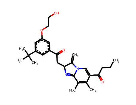 C=C1C(CC(=O)c2cc(OCCO)cc(C(C)(C)C)c2)N=C2C(C)=C(C)C(C(=O)CCC)=CN12